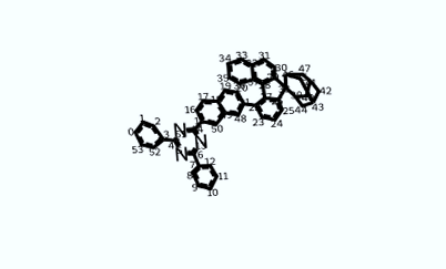 c1ccc(-c2nc(-c3ccccc3)nc(-c3ccc4ccc(-c5cccc6c5-c5c(ccc7ccccc57)C65C6CC7CC(C6)CC5C7)cc4c3)n2)cc1